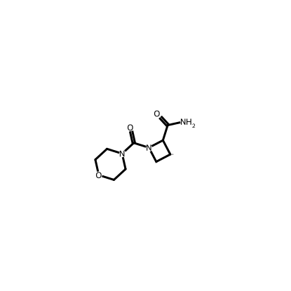 NC(=O)C1[CH]CN1C(=O)N1CCOCC1